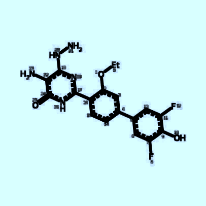 CCOc1cc(-c2cc(F)c(O)c(F)c2)ccc1-c1nc(NN)c(N)c(=O)[nH]1